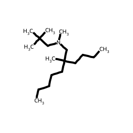 CCCCCC(C)(CCCC)CN(C)CC(C)(C)C